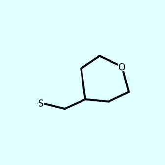 [S]CC1CCOCC1